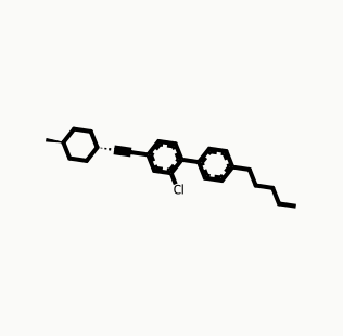 CCCCCc1ccc(-c2ccc(C#C[C@H]3CC[C@H](C)CC3)cc2Cl)cc1